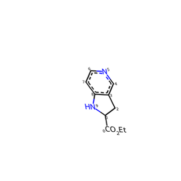 CCOC(=O)C1Cc2cnccc2N1